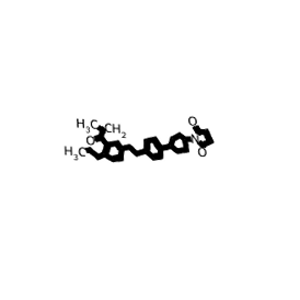 C=C(C)C(=O)c1cc(CCc2ccc(C3CCC(N4C(=O)C=CC4=O)CC3)cc2)ccc1CCC